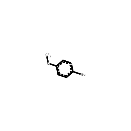 CCC(C)c1ccc(OC(F)(F)F)cn1